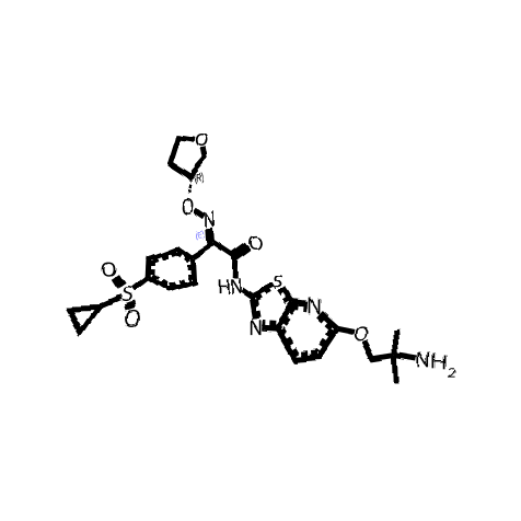 CC(C)(N)COc1ccc2nc(NC(=O)/C(=N/O[C@@H]3CCOC3)c3ccc(S(=O)(=O)C4CC4)cc3)sc2n1